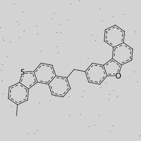 Cc1ccc2sc3ccc4c(Cc5ccc6oc7ccc8ccccc8c7c6c5)cccc4c3c2c1